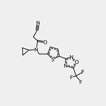 N#CCC(=O)N(Cc1ccc(-c2noc(C(F)(F)F)n2)s1)C1CC1